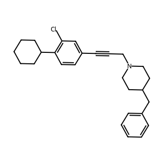 Clc1cc(C#CCN2CCC(Cc3ccccc3)CC2)ccc1C1CCCCC1